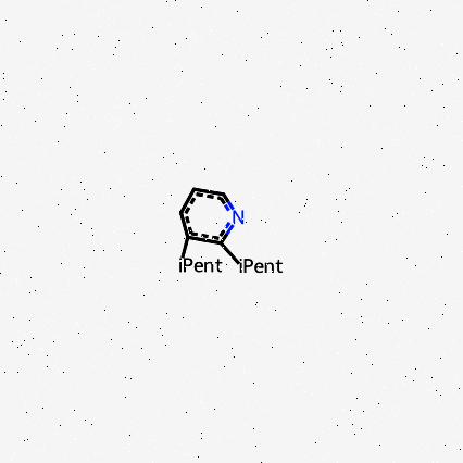 CCCC(C)c1cccnc1C(C)CCC